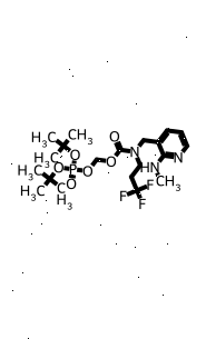 CNc1ncccc1CN(CCC(F)(F)F)C(=O)OCOP(=O)(OC(C)(C)C)OC(C)(C)C